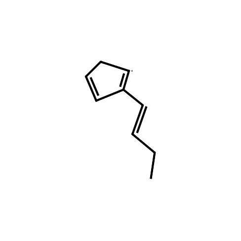 CC/C=C/C1=[C]CC=C1